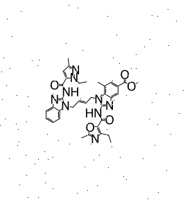 CCc1nc(C)oc1C(=O)Nc1nc2cc(C(=O)OC)cc(C)c2n1C/C=C/Cn1c(NC(=O)c2cc(C)nn2CC)nc2ccccc21